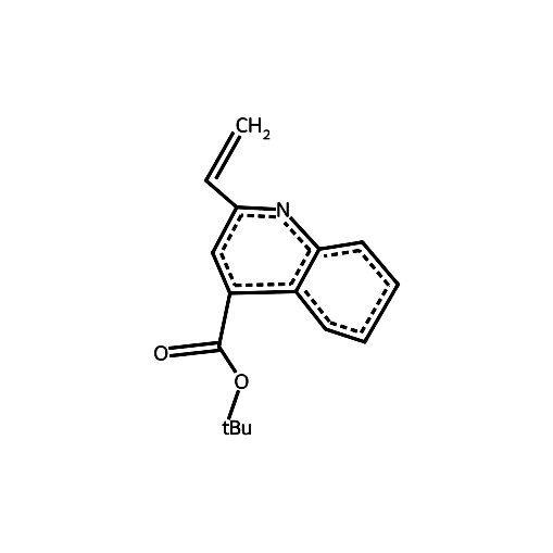 C=Cc1cc(C(=O)OC(C)(C)C)c2ccccc2n1